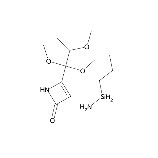 CCC[SiH2]N.COC(C)C(OC)(OC)C1=CC(=O)N1